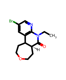 CCN1C(=O)[C@H]2CCOCCC2c2cc(Br)cnc21